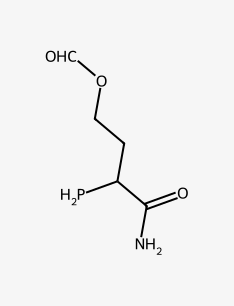 NC(=O)C(P)CCOC=O